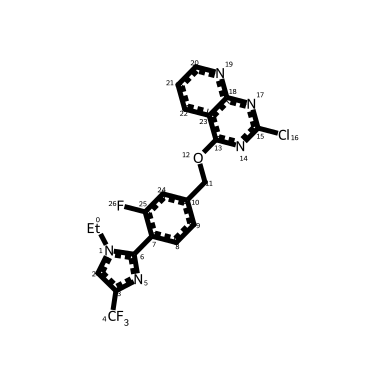 CCn1cc(C(F)(F)F)nc1-c1ccc(COc2nc(Cl)nc3ncccc23)cc1F